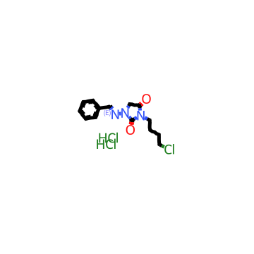 Cl.Cl.O=C1CN(/N=C/c2ccccc2)C(=O)N1CCCCCl